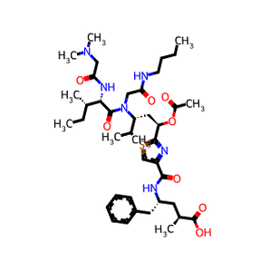 CCCCNC(=O)CN(C(=O)[C@@H](NC(=O)CN(C)C)[C@@H](C)CC)[C@H](C[C@@H](OC(C)=O)c1nc(C(=O)N[C@@H](Cc2ccccc2)C[C@H](C)C(=O)O)cs1)C(C)C